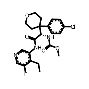 CCc1c(F)cncc1NC(=O)[C@@H](NC(=O)OC)C1(c2ccc(Cl)cc2)CCOCC1